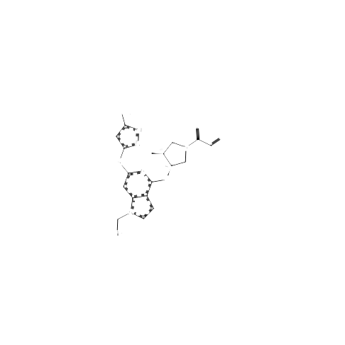 C=CC(=O)N1C[C@H](F)[C@H](Oc2nc(Nc3cc(C)[nH]n3)cc3c2ccn3CC(C)C)C1